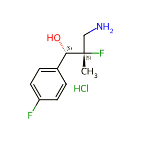 C[C@](F)(CN)[C@@H](O)c1ccc(F)cc1.Cl